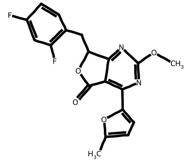 COc1nc(-c2ccc(C)o2)c2c(n1)C(Cc1ccc(F)cc1F)OC2=O